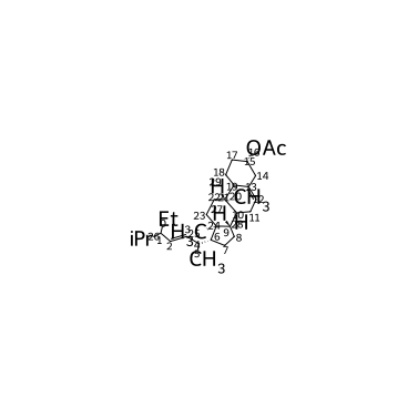 CCC(/C=C/C(C)[C@H]1CC[C@H]2[C@@H]3CC=C4C[C@@H](OC(C)=O)CC[C@]4(C)[C@H]3CC[C@]12C)C(C)C